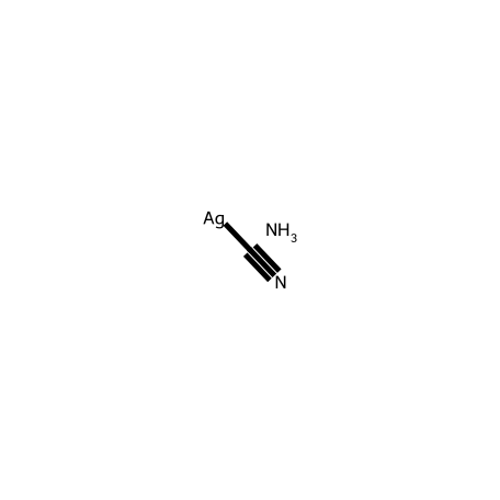 N.N#[C][Ag]